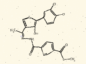 COC(=O)c1ccc(C(=O)N/N=C(/C)c2csc(-c3ccc(Cl)c(Cl)c3)c2O)cc1